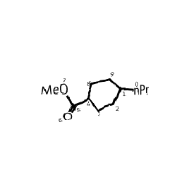 CCCC1CCC(C(=O)OC)CC1